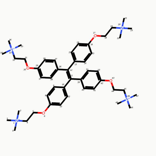 C[N+](C)(C)CCOc1ccc(C(=C(c2ccc(OCC[N+](C)(C)C)cc2)c2ccc(OCC[N+](C)(C)C)cc2)c2ccc(OCC[N+](C)(C)C)cc2)cc1